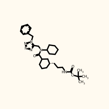 CC(C)(C)OC(=O)NCCC[C@@H]1CCCC(C(=O)N(Cc2nnnn2Cc2ccccc2)C2CCCCC2)C1